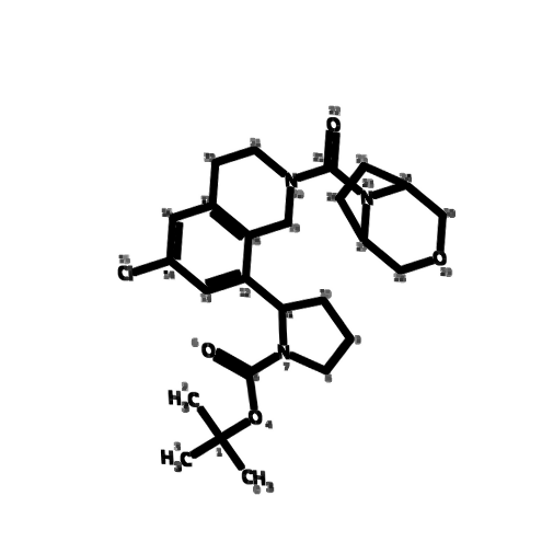 CC(C)(C)OC(=O)N1CCCC1c1cc(Cl)cc2c1CN(C(=O)N1C3CCC1COC3)CC2